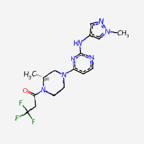 C[C@@H]1CN(c2ccnc(Nc3cnn(C)c3)n2)CCN1C(=O)CC(F)(F)F